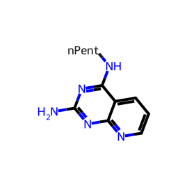 CCCCCNc1nc(N)nc2ncccc12